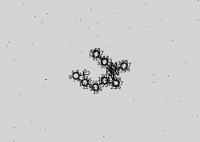 CC1(C)c2ccccc2-c2ccc(-c3cccc(-c4ccc5c(c4)c4ccccc4n5-c4nc(-c5ccccc5)nc(-c5ccc(-c6ccccc6)cc5)n4)c3)cc21